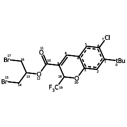 CC(C)(C)c1cc2c(cc1Cl)C=C(C(=O)OC(CBr)CBr)C(C(F)(F)F)O2